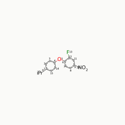 CC(C)c1ccc(Oc2ccc([N+](=O)[O-])cc2F)cc1